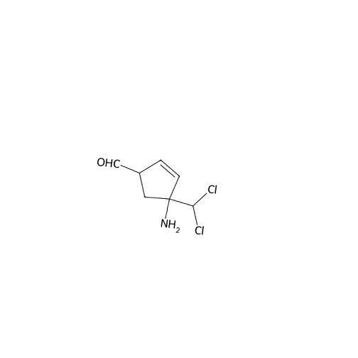 NC1(C(Cl)Cl)C=CC(C=O)C1